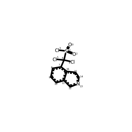 O=S(=O)(Cl)C(Cl)(Cl)c1cccc2cnccc12